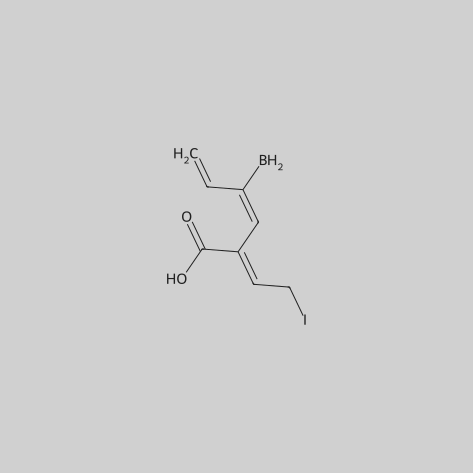 B/C(C=C)=C/C(=C\CI)C(=O)O